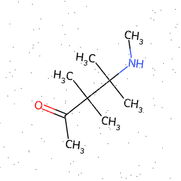 CNC(C)(C)C(C)(C)C(C)=O